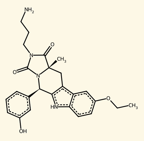 CCOc1ccc2[nH]c3c(c2c1)C[C@@]1(C)C(=O)N(CCCN)C(=O)N1[C@@H]3c1cccc(O)c1